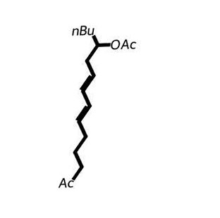 CCCCC(C/C=C/C=C/CCCC(C)=O)OC(C)=O